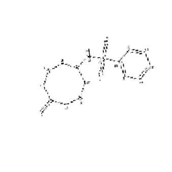 C=C1CSCC(NS(=O)(=O)c2ccccc2)CSC1